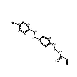 C=CC(=O)OCOc1ccc(CCc2ccc(C#N)cc2)cc1